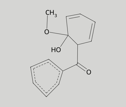 COC1(O)C=CC=CC1C(=O)c1ccccc1